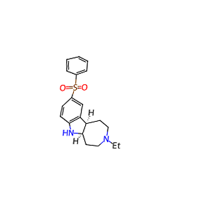 CCN1CC[C@@H]2c3cc(S(=O)(=O)c4ccccc4)ccc3N[C@@H]2CC1